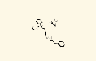 O.O=C(O)C(=O)O.OC(CCC#CCNCCCc1ccccc1)(c1ccccc1)C1SCCCS1